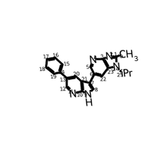 Cc1nc2ncc(-c3c[nH]c4ncc(-c5ccccc5)cc34)cc2n1C(C)C